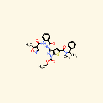 CCOC(=O)n1nc(NC(=O)c2ccccc2NC(=O)c2cnoc2C)c2cc(C(=O)N(C)C(C)c3ccccc3)sc21